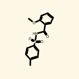 COc1ccccc1C(=O)NS(=O)(=O)c1ccc(C)cc1